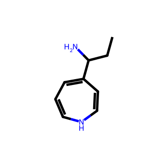 CCC(N)C1=CC=CNC=C1